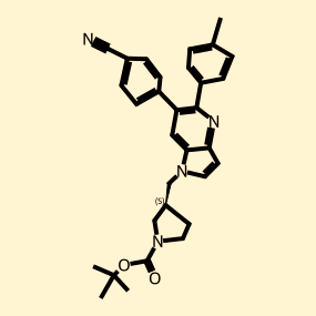 Cc1ccc(-c2nc3ccn(C[C@H]4CCN(C(=O)OC(C)(C)C)C4)c3cc2-c2ccc(C#N)cc2)cc1